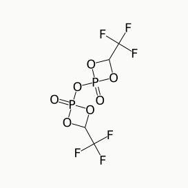 O=P1(OP2(=O)OC(C(F)(F)F)O2)OC(C(F)(F)F)O1